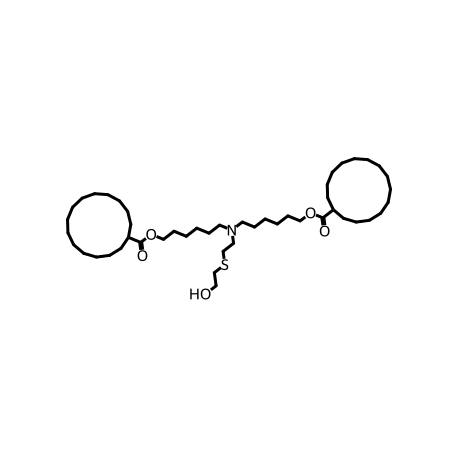 O=C(OCCCCCCN(CCCCCCOC(=O)C1CCCCCCCCCCCCCC1)CCSCCO)C1CCCCCCCCCCCCCC1